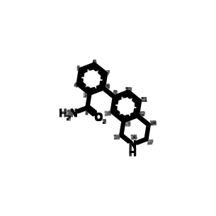 NC(=O)c1ccccc1-c1ccc2c(c1)CNCC2